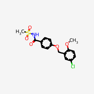 COc1ccc(Cl)cc1COc1ccc(C(=O)NS(C)(=O)=O)cc1